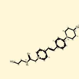 O=C(C[n+]1ccc(/C=C/c2ccc(N3CCC(O)CC3)cc2)cc1)NCCS